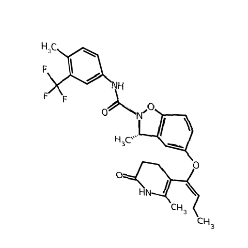 CC/C=C(/Oc1ccc2c(c1)[C@H](C)N(C(=O)Nc1ccc(C)c(C(F)(F)F)c1)O2)C1=C(C)NC(=O)CC1